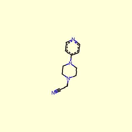 N#CCN1CCN(c2ccncc2)CC1